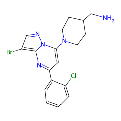 NCC1CCN(c2cc(-c3ccccc3Cl)nc3c(Br)cnn23)CC1